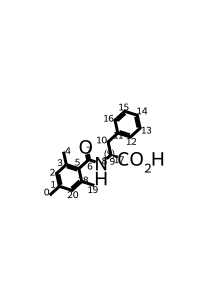 Cc1cc(C)c(C(=O)N[C@@H](Cc2ccccc2)C(=O)O)c(C)c1